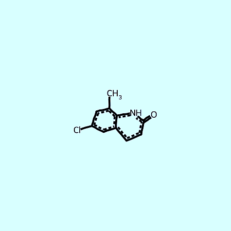 Cc1cc(Cl)cc2ccc(=O)[nH]c12